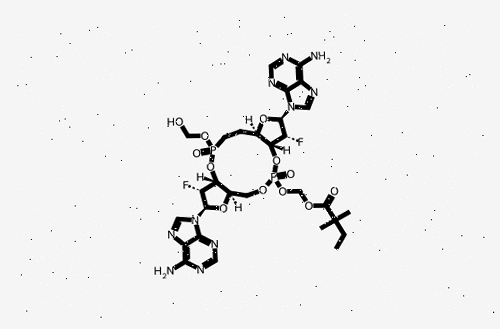 CCC(C)(C)C(=O)OCOP1(=O)OC[C@H]2O[C@@H](n3cnc4c(N)ncnc43)[C@H](F)[C@@H]2OP(=O)(OCO)CC[C@H]2O[C@@H](n3cnc4c(N)ncnc43)[C@H](F)[C@@H]2O1